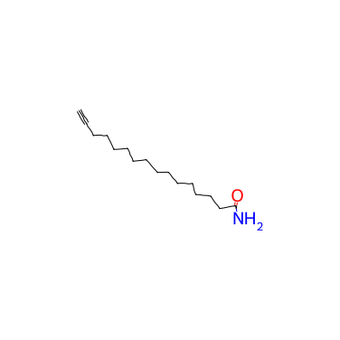 C#CCCCCCCCCCCCCCC(N)=O